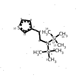 C[Si](C)(C)N([CH]Cc1ccsc1)[Si](C)(C)C